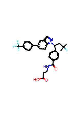 CC(C)(F)CC(c1ccc(C(=O)NCCC(=O)O)cc1)n1ncc2cc(-c3ccc(C(F)(F)F)cc3)ccc21